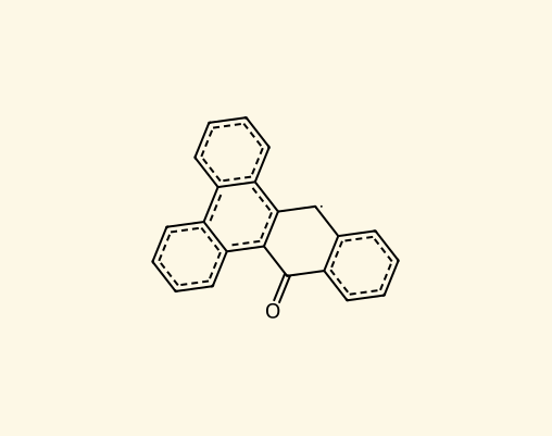 O=C1c2ccccc2[CH]c2c1c1ccccc1c1ccccc21